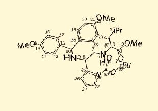 COC(=O)[C@H](CC(C)C)NCC(NC(c1ccc(OC)cc1)c1ccc(OC)cc1)c1cccn1C(=O)OC(C)(C)C